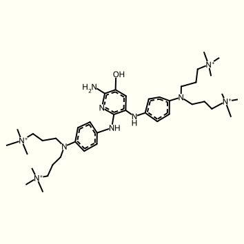 C[N+](C)(C)CCCN(CCC[N+](C)(C)C)c1ccc(Nc2cc(O)c(N)nc2Nc2ccc(N(CCC[N+](C)(C)C)CCC[N+](C)(C)C)cc2)cc1